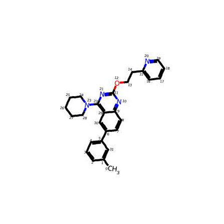 Cc1cccc(-c2ccc3nc(OCCc4ccccn4)nc(N4CCCCC4)c3c2)c1